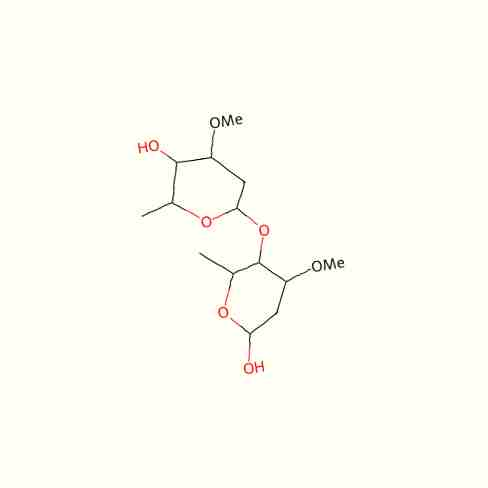 COC1CC(OC2C(C)OC(O)CC2OC)OC(C)C1O